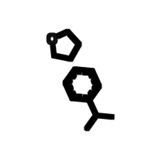 C1CCOC1.CC(C)c1ccccc1